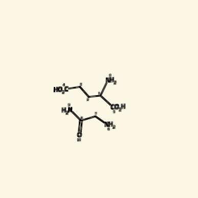 NC(CCC(=O)O)C(=O)O.NCC(N)=O